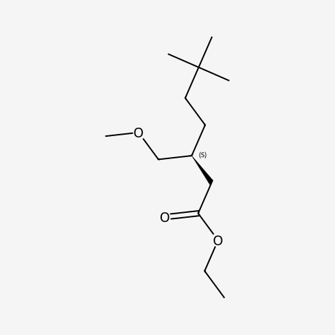 CCOC(=O)C[C@H](CCC(C)(C)C)COC